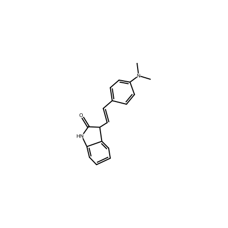 CN(C)c1ccc(C=CC2C(=O)Nc3ccccc32)cc1